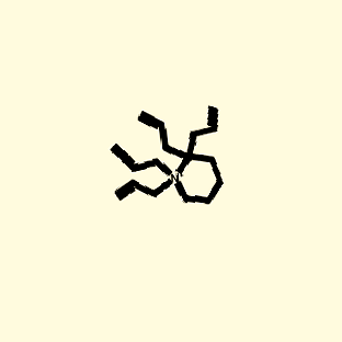 C=CCC1(CC=C)CCCC[N+]1(CC=C)CC=C